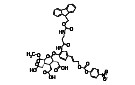 COC(=O)[C@H]1O[C@@H](Oc2ccc(/C=C/COC(=O)Oc3ccc([N+](=O)[O-])cc3)cc2NC(=O)CCNC(=O)OCC2c3ccccc3-c3ccccc32)[C@H](CC(=O)O)[C@@H](CC(=O)O)[C@@H]1CC(=O)O